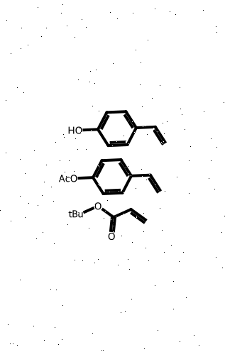 C=CC(=O)OC(C)(C)C.C=Cc1ccc(O)cc1.C=Cc1ccc(OC(C)=O)cc1